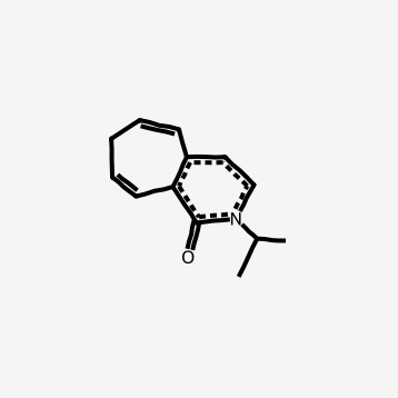 CC(C)n1ccc2c(c1=O)C=CCC=C2